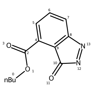 CCCCOC(=O)c1cccc2c1C(=O)N=N2